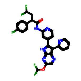 O=C(Nc1cc(-c2[nH]c3nc(OC(F)F)cnc3c2-c2ccccn2)ccn1)C(CC(F)F)c1ccc(F)cc1